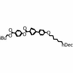 CCCCCCCCCCCCCCCCOc1ccc(-c2ccc(C(=O)Oc3ccc(C(=O)OCC(C)CC)cc3)cc2)cc1